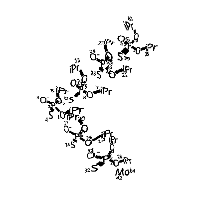 CC(C)OP([O-])(=S)OC(C)C.CC(C)OP([O-])(=S)OC(C)C.CC(C)OP([O-])(=S)OC(C)C.CC(C)OP([O-])(=S)OC(C)C.CC(C)OP([O-])(=S)OC(C)C.CC(C)OP([O-])(=S)OC(C)C.[Mo+6]